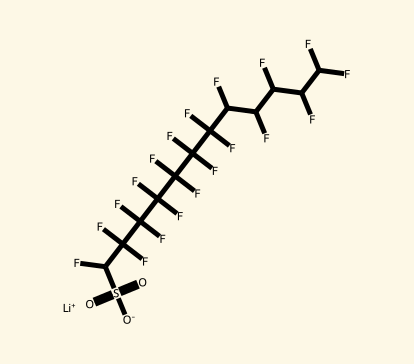 O=S(=O)([O-])C(F)C(F)(F)C(F)(F)C(F)(F)C(F)(F)C(F)(F)C(F)(F)C(F)C(F)C(F)C(F)C(F)F.[Li+]